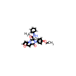 CCOc1ccc(N2C(=O)c3cc4occc4n3CC2(C)C(=O)NC2CCCCC2C)cc1